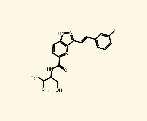 CC(C)C(CO)NC(=O)c1ccc2[nH]nc(/C=C/c3cccc(F)c3)c2n1